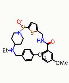 CCN(Cc1ccc(C(F)(F)F)cc1)C1CCN([S+]([O-])c2ccc(CNC(=O)c3cccc(OC)c3)s2)CC1